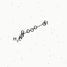 CCOCCCCCCOCCOCCOCCCC(=O)N1CCN(C)CC1